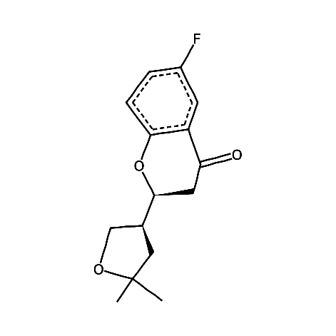 CC1(C)C[C@H]([C@@H]2CC(=O)c3cc(F)ccc3O2)CO1